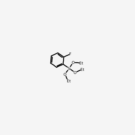 CCO[Si](OCC)(OCC)c1ccccc1F